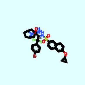 NC1CC2CCC(C1)N2C(=O)[C@@H](NS(=O)(=O)c1ccc2cc(OC3CC3)ccc2c1)C(F)(F)c1ccc(Br)cc1